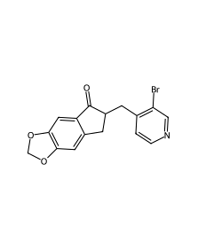 O=C1c2cc3c(cc2CC1Cc1ccncc1Br)OCO3